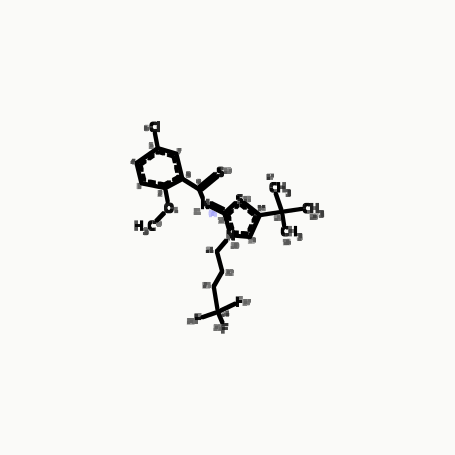 COc1ccc(Cl)cc1C(=S)/N=c1\sc(C(C)(C)C)cn1CCCC(F)(F)F